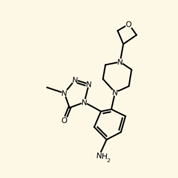 Cn1nnn(-c2cc(N)ccc2N2CCN(C3COC3)CC2)c1=O